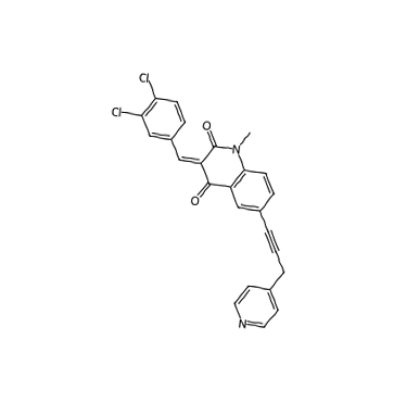 CN1C(=O)/C(=C\c2ccc(Cl)c(Cl)c2)C(=O)c2cc(C#CCc3ccncc3)ccc21